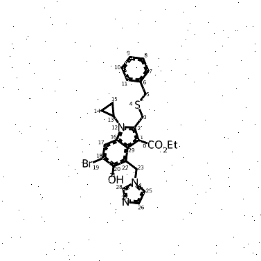 CCOC(=O)c1c(CSCc2ccccc2)n(C2CC2)c2cc(Br)c(O)c(Cn3ccnc3)c12